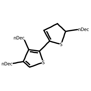 CCCCCCCCCCc1csc(C2=CCC(CCCCCCCCCC)S2)c1CCCCCCCCCC